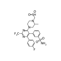 CC1CN(c2nc(C(F)(F)F)nc(-c3ccc(F)cc3)c2-c2cccc(S(N)(=O)=O)c2)CCN1C[SH](=O)=O